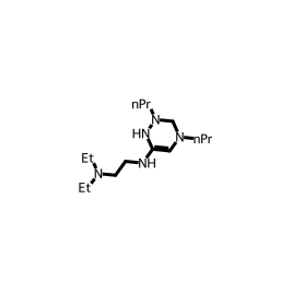 CCCN1C=C(NCCN(CC)CC)NN(CCC)C1